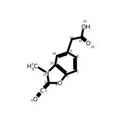 CN1C(=C=O)Oc2ccc(CC(=O)O)cc21